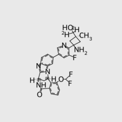 [2H]C([2H])(O)[C@]1(C)C[C@@](N)(c2ncc(-c3ccc4nc5n(c4c3)[C@@H]3C[C@H]5NC(=O)c4cccc(OC(F)F)c43)cc2F)C1